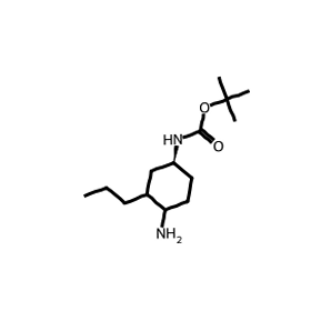 CCCC1C[C@@H](NC(=O)OC(C)(C)C)CCC1N